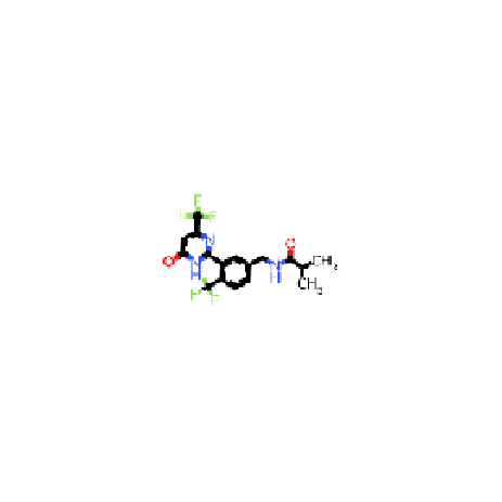 CC(C)C(=O)NCc1ccc(C(F)(F)F)c(-c2nc(C(F)(F)F)cc(=O)[nH]2)c1